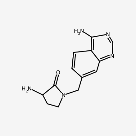 Nc1ncnc2cc(CN3CCC(N)C3=O)ccc12